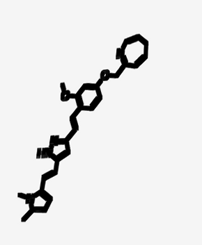 COc1cc(OCC2=NC=CCC=C2)ccc1/C=C/c1cc(/C=C/c2ccc(C)n2C)[nH]n1